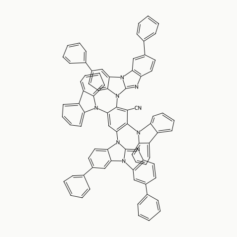 N#Cc1c(-n2c3ccccc3c3ccccc32)c(-n2c3ccc(-c4ccccc4)cc3n3c4cc(-c5ccccc5)ccc4nc23)cc(-n2c3ccccc3c3ccccc32)c1-n1c2ccc(-c3ccccc3)cc2n2c3cc(-c4ccccc4)ccc3nc12